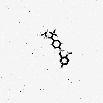 COc1ccc(Br)cc1CNC1CCC(C(NC(=O)O)C(C)(C)C)CC1